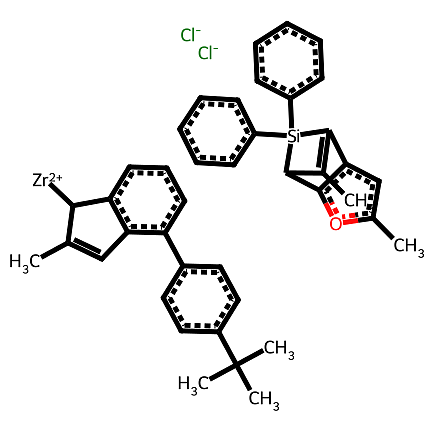 CC1=C2c3cc(C)oc3C1[Si]2(c1ccccc1)c1ccccc1.CC1=Cc2c(-c3ccc(C(C)(C)C)cc3)cccc2[CH]1[Zr+2].[Cl-].[Cl-]